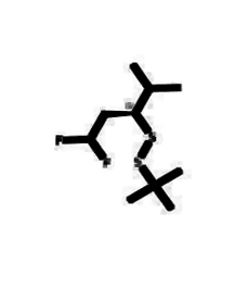 CC(C)[C@H](CC(F)F)SSC(C)(C)C